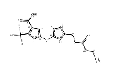 CCOC(=O)CCc1nnc(Sc2nc(C(F)(F)F)c(C(=O)O)s2)s1